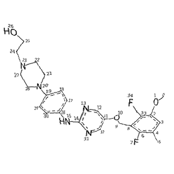 COc1cc(C)c(F)c(COc2cnc(Nc3ccc(N4CCN(CCO)CC4)cc3)nc2)c1F